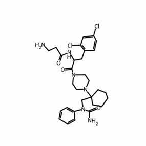 NCCC(=O)NC(Cc1ccc(Cl)cc1Cl)C(=O)N1CCN(C2(CN(C(N)=O)c3ccccc3)CCCCC2)CC1